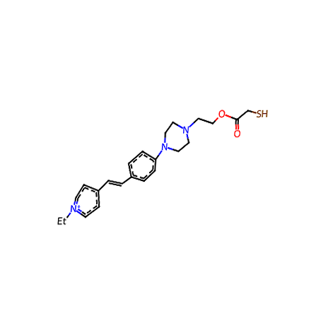 CC[n+]1ccc(/C=C/c2ccc(N3CCN(CCOC(=O)CS)CC3)cc2)cc1